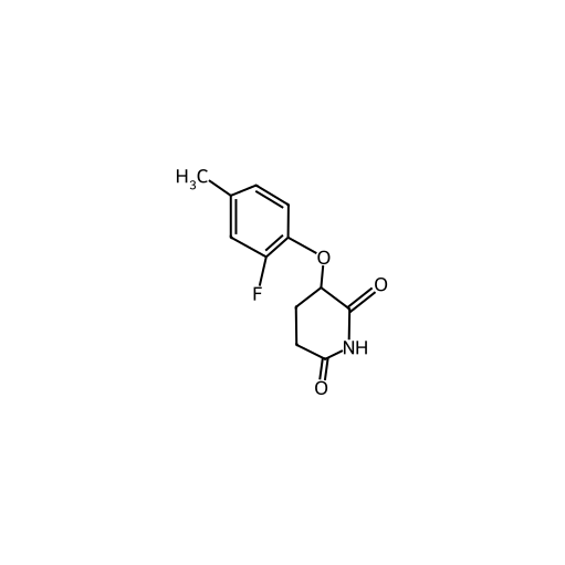 Cc1ccc(OC2CCC(=O)NC2=O)c(F)c1